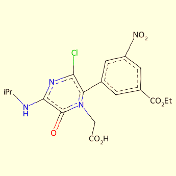 CCOC(=O)c1cc(-c2c(Cl)nc(NC(C)C)c(=O)n2CC(=O)O)cc([N+](=O)[O-])c1